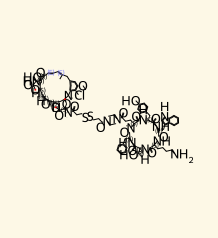 COc1cc2cc(c1Cl)N(C)C1(C)C[C@H](OC(=O)[C@@H](N(C)C(=O)CCSSCCC(=O)N3CCN(C(=O)CC[C@H]4C(=O)N[C@@H](Cc5ccc(O)cc5)C(=O)N[C@H](Cc5c[nH]c6ccccc56)C(=O)N[C@@H](CCCCN)C(=O)N[C@@H]([C@@H](C)O)C(=O)N[C@@H](Cc5ccccc5)C(=O)N4C)CC3)O1)[C@]1(C)O[C@H]1[C@H](C)[C@@H]1C[C@@](O)(NC(=O)O1)[C@H](OC)/C=C/C=C(\C)C2